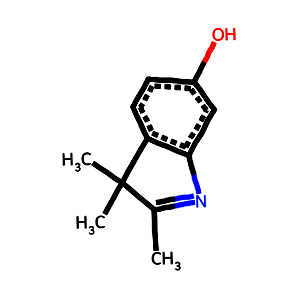 CC1=Nc2cc(O)ccc2C1(C)C